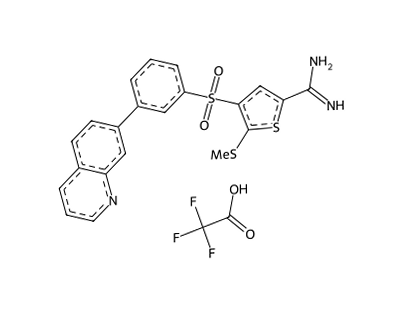 CSc1sc(C(=N)N)cc1S(=O)(=O)c1cccc(-c2ccc3cccnc3c2)c1.O=C(O)C(F)(F)F